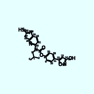 CC(C)CN(C(=O)Oc1ccc(-c2cc(O)no2)cc1)c1ccc2nc(S)sc2n1